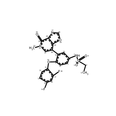 CCS(=O)(=O)Nc1ccc(Oc2ccc(F)cc2F)c(-c2cn(C)c(=O)c3ncoc23)c1